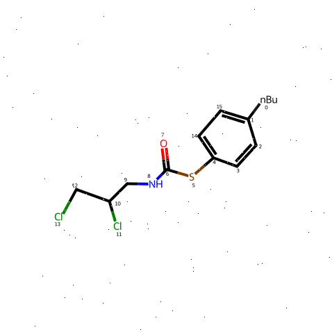 CCCCc1ccc(SC(=O)NCC(Cl)CCl)cc1